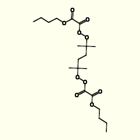 CCCCOC(=O)C(=O)OOC(C)(C)CCC(C)(C)OOC(=O)C(=O)OCCCC